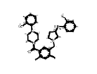 Cc1cc(C)c(C(=O)N2CCN(c3ccccc3C#N)CC2)cc1CN1CCC(Nc2ccccc2C#N)C1